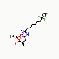 C=C(Cc1nc(CCCCCCC(F)(F)C(F)(F)F)no1)C(=O)OC(C)(C)C